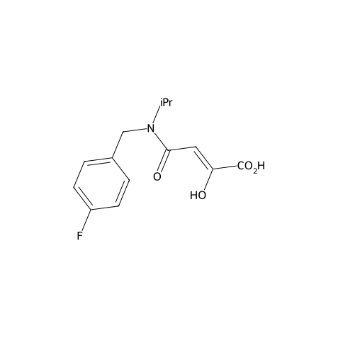 CC(C)N(Cc1ccc(F)cc1)C(=O)C=C(O)C(=O)O